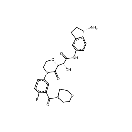 N[C@H]1CCc2cc(NC(=O)[C@H](O)[C@H]3OCCN(c4ccc(F)c(C(=O)N5CCOCC5)c4)C3=O)ccc21